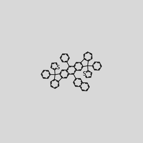 c1ccc(-c2c3cc4c(cc3c(-c3ccc5ccccc5c3)c3cc5c(cc23)C(c2ccccc2)(c2cccs2)c2ccccc2-5)C(c2ccccc2)(c2cccs2)c2ccccc2-4)cc1